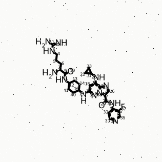 N=C(N)NCCC[C@H](N)C(=O)NC1CCC(Nc2cc(NC3CC3)c3ncc(C(=O)Nc4ccncc4F)n3n2)CC1